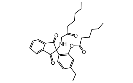 CCCCCC(=O)CNC1(c2ccc(CC)cc2OC(=O)CCCCC)C(=O)c2ccccc2C1=O